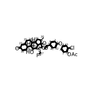 CC(=O)Oc1ccc(Oc2ccc(C(=O)O[C@]3(C(=O)SCF)[C@H](C)C[C@H]4[C@@H]5CCC6=CC(=O)C=C[C@]6(C)[C@@]5(F)[C@@H](O)C[C@@]43C)cc2)cc1Cl